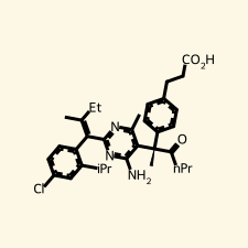 CCCC(=O)[C@@](C)(c1ccc(CCC(=O)O)cc1)c1c(C)nc(/C(=C(/C)CC)c2ccc(Cl)cc2C(C)C)nc1N